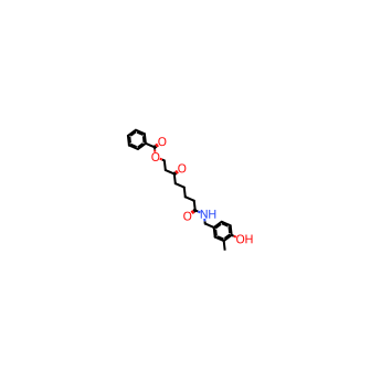 Cc1cc(CNC(=O)CCCCC(=O)CCOC(=O)c2ccccc2)ccc1O